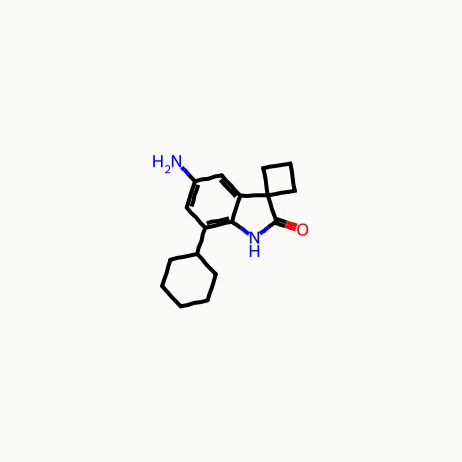 Nc1cc(C2CCCCC2)c2c(c1)C1(CCC1)C(=O)N2